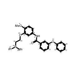 COc1ccc(NC(=O)c2cccc(Oc3ccccc3)c2)cc1OCCN(C(C)C)C(C)C